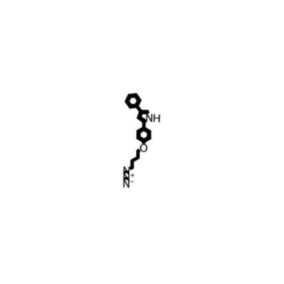 [N-]=[N+]=NCCCCOc1ccc(-c2cc(-c3ccccc3)c[nH]2)cc1